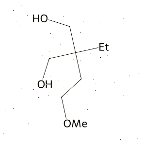 CCC(CO)(CO)CCOC